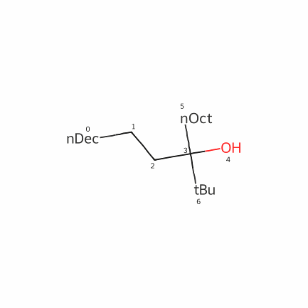 CCCCCCCCCCCCC(O)(CCCCCCCC)C(C)(C)C